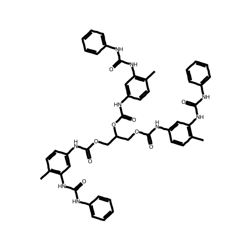 Cc1ccc(NC(=O)OCC(COC(=O)Nc2ccc(C)c(NC(=O)Nc3ccccc3)c2)OC(=O)Nc2ccc(C)c(NC(=O)Nc3ccccc3)c2)cc1NC(=O)Nc1ccccc1